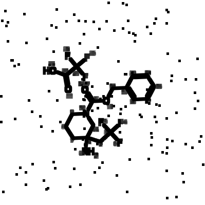 NC1(CC(F)(F)F)CCCN(C(=O)OCc2ccccc2)C1.O=C(O)C(F)(F)F